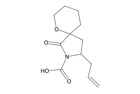 C=CCC1CC2(CCCCO2)C(=O)N1C(=O)O